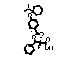 CC(C)C1(Oc2ccc(C(=O)OC(c3ccccc3)C(F)(F)C(=O)O)cc2)CCCCC1